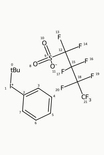 CC(C)(C)[I+]c1ccccc1.O=S(=O)([O-])C(F)(F)C(F)(F)C(F)(F)C(F)(F)F